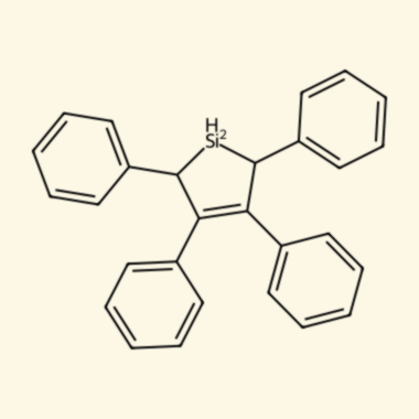 c1ccc(C2=C(c3ccccc3)C(c3ccccc3)[SiH2]C2c2ccccc2)cc1